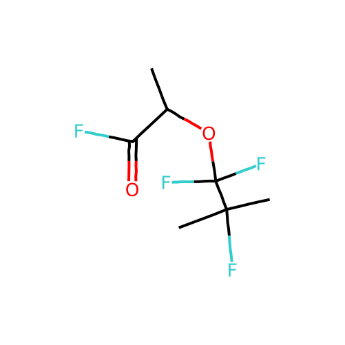 CC(OC(F)(F)C(C)(C)F)C(=O)F